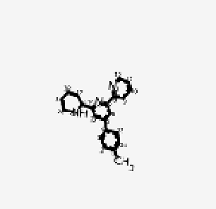 Cc1ccc(-c2cc(-c3ccccn3)nc(C3C=CC=CN3)c2)cc1